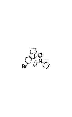 Brc1ccc2c(c1)C1(c3ccccc3-2)c2ccccc2N(c2ccccc2)c2ccccc21